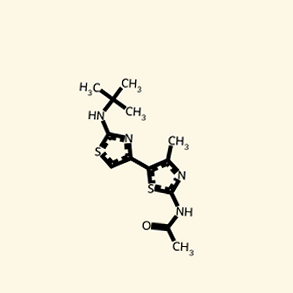 CC(=O)Nc1nc(C)c(-c2csc(NC(C)(C)C)n2)s1